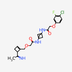 CC(=N)C1CC=C1COCC(=O)NC12CC(NC(=O)COc3ccc(Cl)c(F)c3)(C1)C2